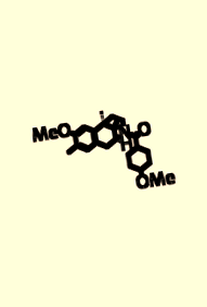 COc1cc2c(cc1C)C[C@@H]1N(C(=O)C3CCC(OC)CC3)CC[C@@]2(C)C1(C)C